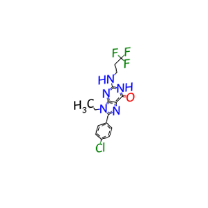 CCn1c(-c2ccc(Cl)cc2)nc2c(=O)[nH]c(NCCC(F)(F)F)nc21